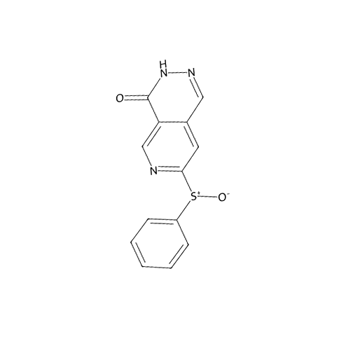 O=c1[nH]ncc2cc([S+]([O-])c3ccccc3)ncc12